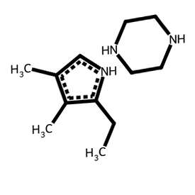 C1CNCCN1.CCc1[nH]cc(C)c1C